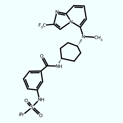 CC(C)S(=O)(=O)Nc1cccc(C(=O)N[C@H]2CC[C@@H](N(C)c3cccc4nc(C(F)(F)F)cn34)CC2)c1